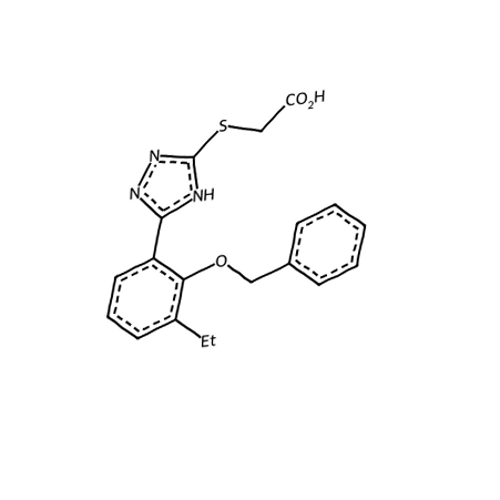 CCc1cccc(-c2nnc(SCC(=O)O)[nH]2)c1OCc1ccccc1